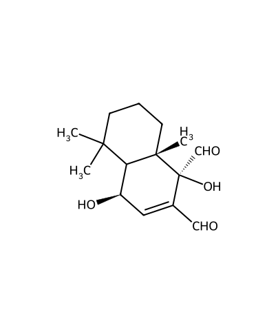 CC1(C)CCC[C@@]2(C)C1[C@H](O)C=C(C=O)[C@@]2(O)C=O